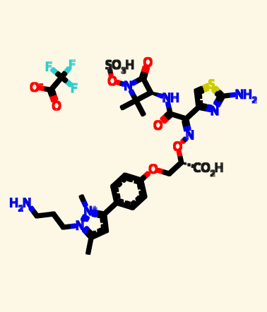 Cc1cc(-c2ccc(OC[C@H](O/N=C(\C(=O)N[C@@H]3C(=O)N(OS(=O)(=O)O)C3(C)C)c3csc(N)n3)C(=O)O)cc2)[n+](C)n1CCCN.O=C([O-])C(F)(F)F